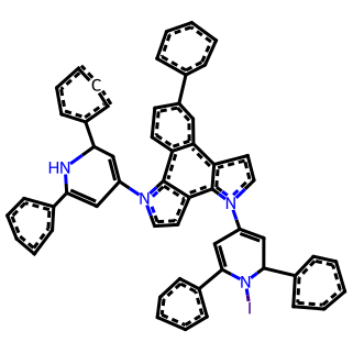 IN1C(c2ccccc2)=CC(n2ccc3c4cc(-c5ccccc5)ccc4c4c(ccn4C4=CC(c5ccccc5)NC(c5ccccc5)=C4)c32)=CC1c1ccccc1